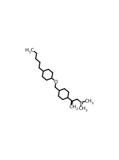 C=C(CN(C)C)C1CCC(COC2CCC(CCCCC)CC2)CC1